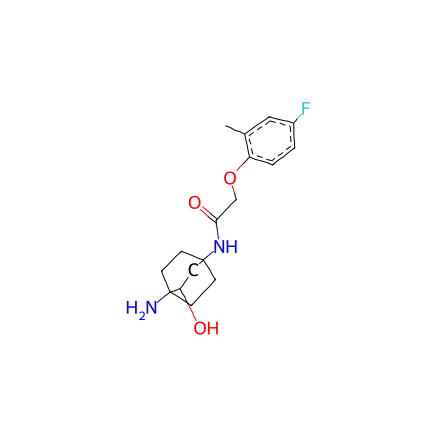 Cc1cc(F)ccc1OCC(=O)NC12CCC(N)(CC1)C(O)C2